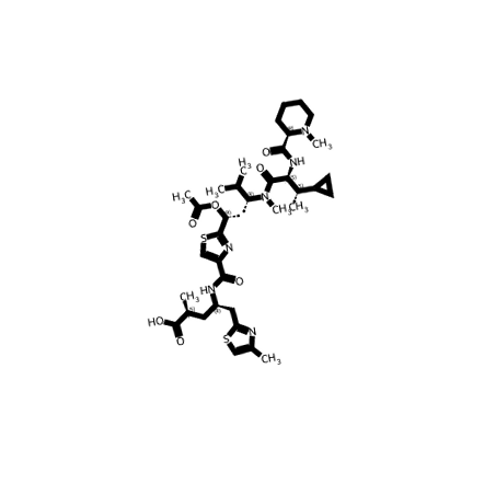 CC(=O)O[C@H](C[C@H](C(C)C)N(C)C(=O)[C@@H](NC(=O)[C@H]1CCCCN1C)[C@@H](C)C1CC1)c1nc(C(=O)N[C@@H](Cc2nc(C)cs2)C[C@H](C)C(=O)O)cs1